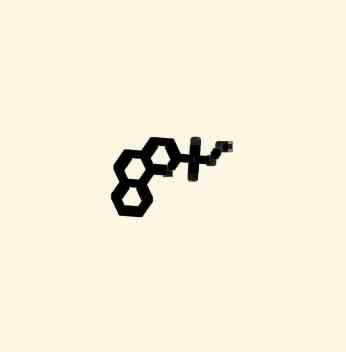 O=S(=O)(OO)c1ccc2ccc3ccccc3c2n1